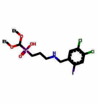 CCOC(OCC)P(=O)(O)CCCNCc1cc(Cl)c(Cl)cc1I